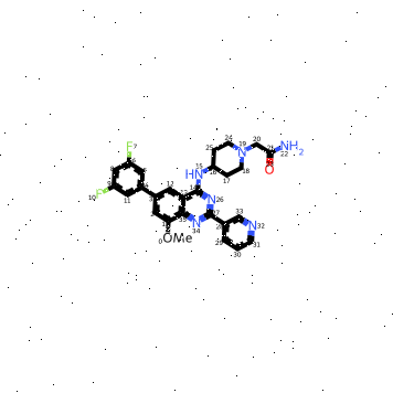 COc1cc(-c2cc(F)cc(F)c2)cc2c(NC3CCN(CC(N)=O)CC3)nc(-c3cccnc3)nc12